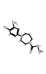 Cc1cc(N2CCCN(C(=O)OC(C)(C)C)CC2)ccc1F